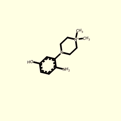 C[N+]1(C)CCN(c2cc(O)ccc2N)CC1